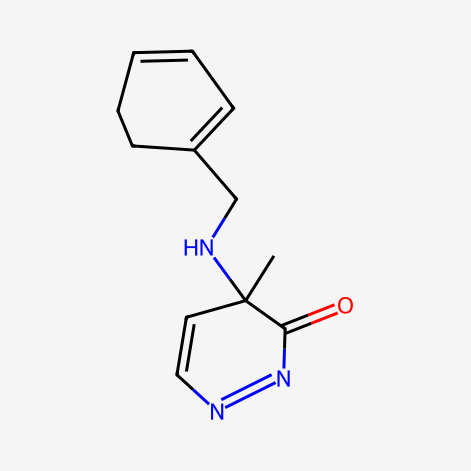 CC1(NCC2=CC=CCC2)C=CN=NC1=O